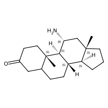 C[C@@]12CCC[C@H]1[C@@H]1CCC3CC(=O)CC[C@]3(C)[C@H]1[C@H](N)C2